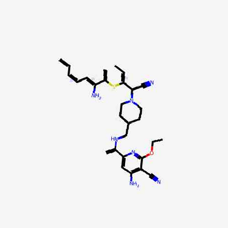 C=C/C=C\C=C(/N)C(=C)S/C(=C\C)C(C#N)N1CCC(CNC(=C)c2cc(N)c(C#N)c(OCC)n2)CC1